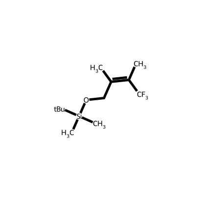 C/C(CO[Si](C)(C)C(C)(C)C)=C(\C)C(F)(F)F